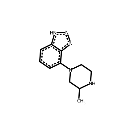 CC1CN(c2cccc3[nH]nnc23)CCN1